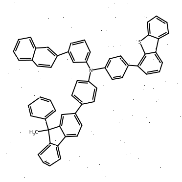 CC1(c2ccccc2)c2ccccc2-c2ccc(-c3ccc(N(c4ccc(-c5cccc6c5sc5ccccc56)cc4)c4cccc(-c5ccc6ccccc6c5)c4)cc3)cc21